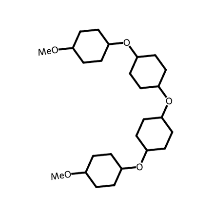 COC1CCC(OC2CCC(OC3CCC(OC4CCC(OC)CC4)CC3)CC2)CC1